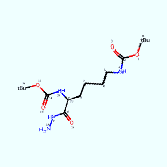 CC(C)(C)OC(=O)NCCCC[C@H](NC(=O)OC(C)(C)C)C(=O)NN